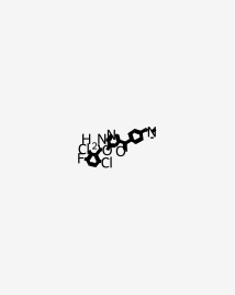 C[C@@H](Oc1c(N)ncc2c(-c3ccc(CN(C)C)cc3)coc12)c1c(Cl)ccc(F)c1Cl